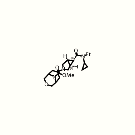 CCN(C(=O)[C@H]1[C@@H]2CN(C3CC4COCC(C3)N4C(=O)OC)C[C@@H]21)C1CC1